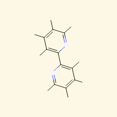 [2H]c1nc(-c2nc([2H])c([2H])c([2H])c2[2H])c([2H])c([2H])c1[2H]